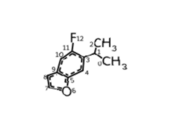 CC(C)c1cc2occc2cc1F